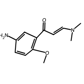 COc1ccc(N)cc1C(=O)/C=C/N(C)C